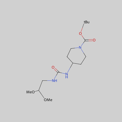 COC(CNC(=O)NC1CCN(C(=O)OC(C)(C)C)CC1)OC